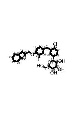 OC[C@H]1O[C@@H](c2ccc(Cl)c(Cc3ccc(OCc4cc5ccccc5o4)c(F)c3)c2)[C@H](O)[C@@H](O)[C@@H]1O